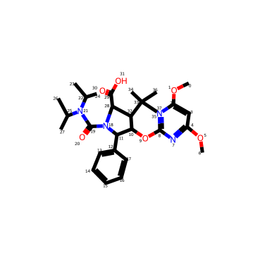 COc1cc(OC)nc(OC2C(c3ccccc3)N(C(=O)N(C(C)C)C(C)C)C(C(=O)O)C2C(C)(C)C)n1